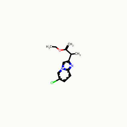 C=C(OCC)C(C)c1cn2cc(Cl)ccc2n1